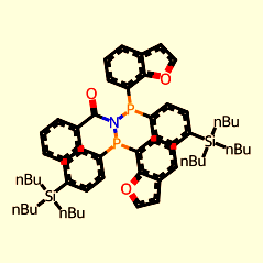 CCCC[Si](CCCC)(CCCC)c1ccc(P(c2cccc3ccoc23)N(C(=O)c2ccccc2)P(c2ccc([Si](CCCC)(CCCC)CCCC)cc2)c2cccc3ccoc23)cc1